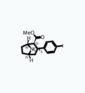 COC(=O)[C@H]1C(c2ccc(I)cc2)C[C@@H]2CC[C@H]1N2C